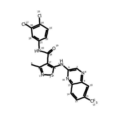 Cc1nsc(Nc2cnc3cc(C(F)(F)F)ccc3n2)c1C(=O)Nc1ccc(Cl)c(Cl)c1